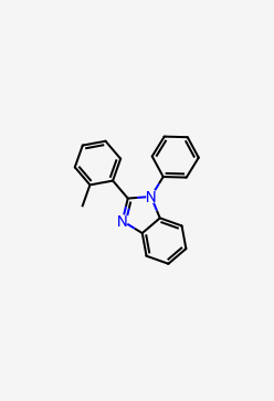 Cc1ccccc1-c1nc2ccccc2n1-c1ccccc1